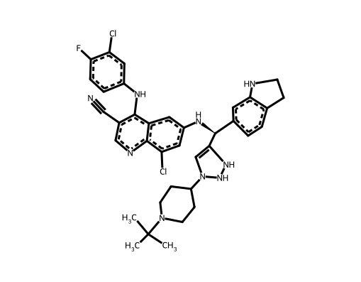 CC(C)(C)N1CCC(N2C=C([C@@H](Nc3cc(Cl)c4ncc(C#N)c(Nc5ccc(F)c(Cl)c5)c4c3)c3ccc4c(c3)NCC4)NN2)CC1